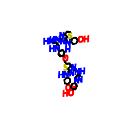 N=C/C(=C\Nc1ccc(OCc2cc3nc(Nc4cnn(-c5ccc(O)cc5)c4)nc(N[C@H]4CC[C@H](O)CC4)c3s2)cc1)Nc1nc(N[C@H]2CC[C@H](O)CC2)c2sccc2n1